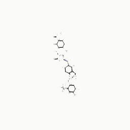 O=C(O)c1cccc(CN2C(=O)S/C(=C\c3ccc4c(cnn4Cc4ccc(Cl)cc4C(F)(F)F)c3)C2=O)c1